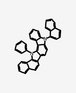 c1ccc(-n2c3c4ccccc4ccc3c3ccc4c(c5ccccc5n4-c4cccc5ccccc45)c32)cc1